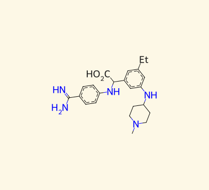 CCc1cc(NC2CCN(C)CC2)cc(C(Nc2ccc(C(=N)N)cc2)C(=O)O)c1